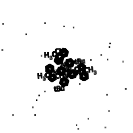 CC(C)(C)c1ccc(N2c3ccc(N4c5ccccc5C5(C)CCCC45C)cc3B3c4cc(C(C)(C)C)ccc4N(c4ccc5cc4-c4ccccc4C5(C)C)c4cc(N5c6ccccc6C6(C)CCCC56C)cc2c43)cc1